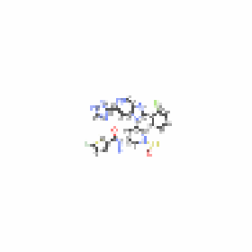 O=[SH]N1C[C@H](NC(=O)c2ccc(Cl)s2)C[C@H](n2c(-c3ccccc3F)nc3cnc(-c4nc[nH]n4)cc32)C1